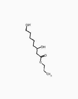 CCCOC(=O)CC(O)CCCCCO